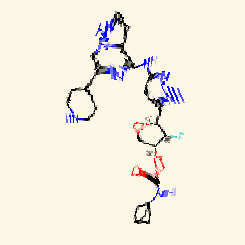 O=C(NC12CC(C1)C2)O[C@H]1CO[C@@H](c2cc(Nc3nc(C4CCNCC4)cn4nccc34)n[nH]2)[C@H]1F